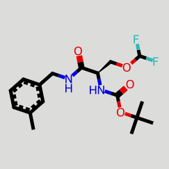 Cc1cccc(CNC(=O)[C@@H](COC(F)F)NC(=O)OC(C)(C)C)c1